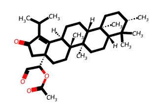 CC(=O)OC(C=O)[C@@]12CC[C@]3(C)[C@H](CC[C@@H]4[C@@]5(C)CC[C@H](C)C(C)(C)[C@@H]5CC[C@]43C)C1=C(C(C)C)C(=O)C2